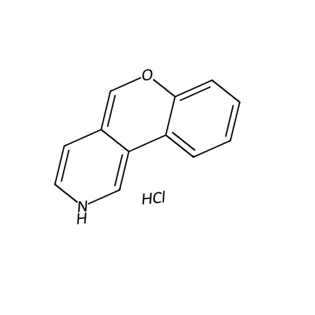 C1=CC2=COc3ccccc3C2=CN1.Cl